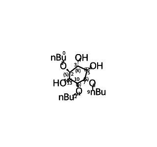 CCCCO[C@H]1[C@H](O)[C@H](O)[C@H](OCCCC)[C@@H](OCCCC)[C@@H]1O